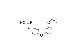 COc1cccc(Oc2ccc([CH]C(O)F)cc2)c1